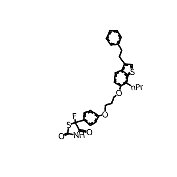 CCCc1c(OCCCOc2ccc(C3(F)SC(=O)NC3=O)cc2)ccc2c(CCc3ccccc3)csc12